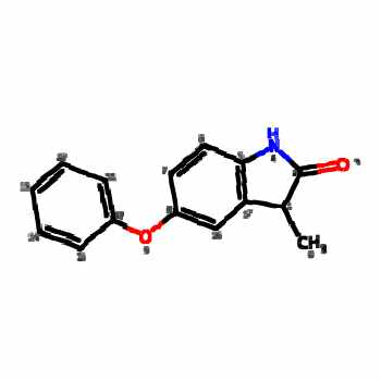 CC1C(=O)Nc2ccc(Oc3ccccc3)cc21